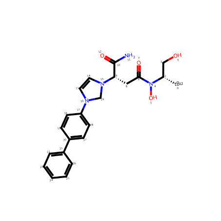 CC(C)(C)[C@@H](CO)N(O)C(=O)C[C@@H](C(N)=O)N1C=CN(c2ccc(-c3ccccc3)cc2)C1